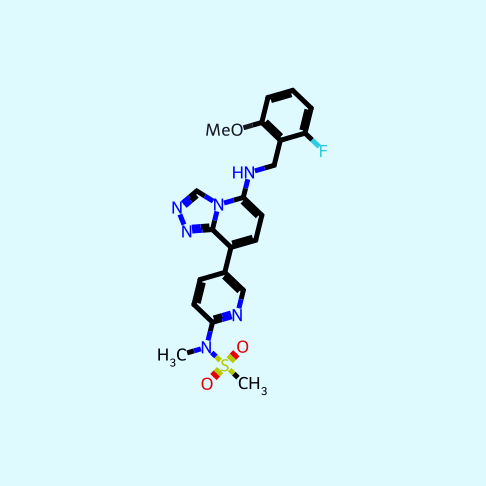 COc1cccc(F)c1CNc1ccc(-c2ccc(N(C)S(C)(=O)=O)nc2)c2nncn12